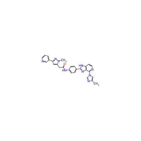 Cc1cn(-c2nccc3[nH]c(-c4ccc(NC(=O)Cc5cc(-c6cccnc6)nn5C)cc4)nc23)cn1